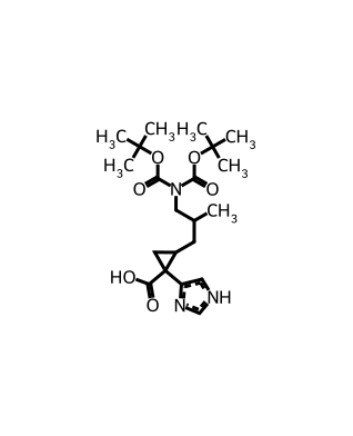 CC(CC1CC1(C(=O)O)c1c[nH]cn1)CN(C(=O)OC(C)(C)C)C(=O)OC(C)(C)C